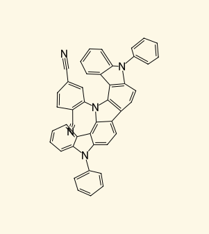 N#Cc1ccc(C#N)c(-n2c3c(ccc4c3c3ccccc3n4-c3ccccc3)c3ccc4c(c5ccccc5n4-c4ccccc4)c32)c1